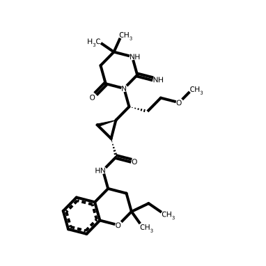 CCC1(C)CC(NC(=O)[C@@H]2C[C@H]2[C@@H](CCOC)N2C(=N)NC(C)(C)CC2=O)c2ccccc2O1